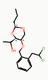 CCC[C@H]1OC[C@@H](OCc2ccccc2CC(Cl)Cl)[C@@H](C(C)O)O1